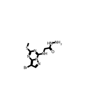 CSc1nc(NCC(=O)NN)n2ncc(Br)c2n1